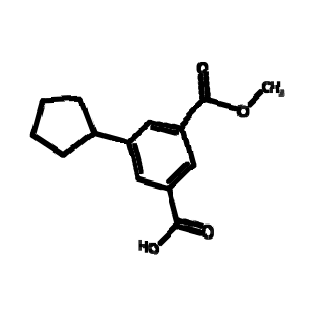 COC(=O)c1cc(C(=O)O)cc(C2CCCC2)c1